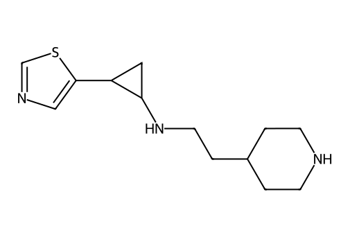 c1ncc(C2CC2NCCC2CCNCC2)s1